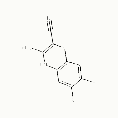 CC1=C(C#N)Sc2cc(F)c(Cl)cc2N1